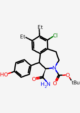 CCc1cc2c(c(Cl)c1CC)CCN(C(=O)OC(C)(C)C)[C@@H](C(N)=O)C2c1ccc(O)cc1